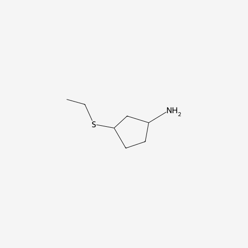 CCSC1CCC(N)C1